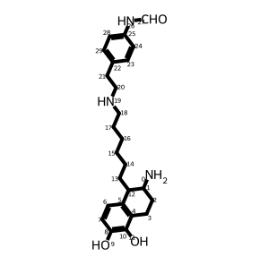 NC1CCc2c(ccc(O)c2O)C1CCCCCCNCCc1ccc(NC=O)cc1